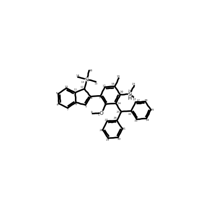 COc1c(C2=Cc3ccccc3C2[Si](C)(C)C)cc(C)c([SiH](C)C)c1C(c1ccccc1)c1ccccc1